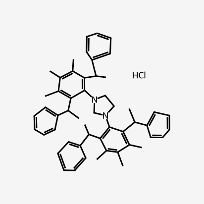 Cc1c(C)c(C(C)c2ccccc2)c(N2CCN(c3c(C(C)c4ccccc4)c(C)c(C)c(C)c3C(C)c3ccccc3)C2)c(C(C)c2ccccc2)c1C.Cl